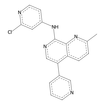 Cc1ccc2c(-c3cccnc3)cnc(Nc3ccnc(Cl)c3)c2n1